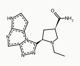 CCN1C[C@H](C(N)=O)C[C@@H]1c1nnc2cnc3[nH]ccc3n12